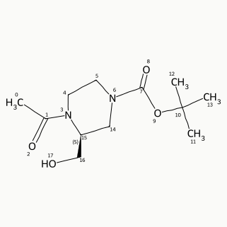 CC(=O)N1CCN(C(=O)OC(C)(C)C)C[C@H]1CO